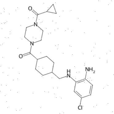 Nc1ccc(Cl)cc1NCC1CCC(C(=O)N2CCN(C(=O)C3CC3)CC2)CC1